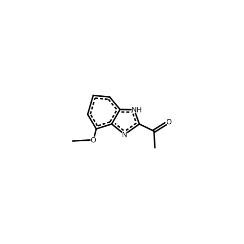 COc1cccc2[nH]c(C(C)=O)nc12